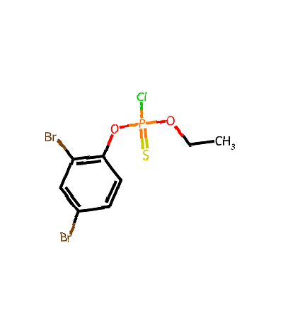 CCOP(=S)(Cl)Oc1ccc(Br)cc1Br